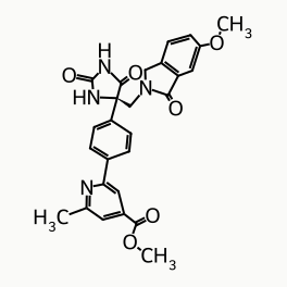 COC(=O)c1cc(C)nc(-c2ccc([C@]3(CN4Cc5ccc(OC)cc5C4=O)NC(=O)NC3=O)cc2)c1